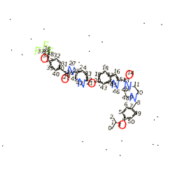 CC(C)Oc1ccc(CN2CCN(C(=O)c3cc4ccc(Oc5ccc(N(C)C(=O)c6ccc(OC(F)(F)F)cc6)cn5)cc4n3C)CC2)cc1